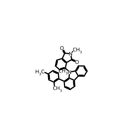 Cc1cc(C)c(-c2cccc3c4ccccc4n(-c4cccc5c4C(=O)N(C)C5=O)c23)c(C)c1